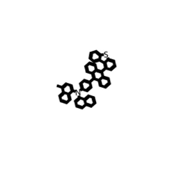 Cc1ccc(N(c2ccc(-c3c4ccccc4c(-c4cccc5sc6ccccc6c45)c4ccccc34)cc2)c2cccc3ccccc23)c2ccccc12